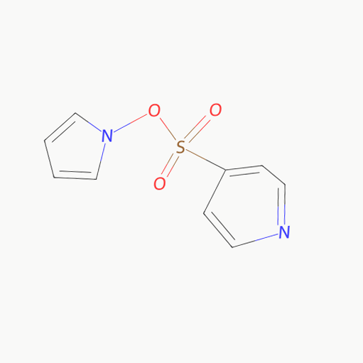 O=S(=O)(On1cccc1)c1ccncc1